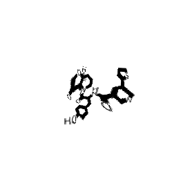 O=C(NC(Cc1ccc(O)cc1)C(=O)N1CCC[C@@H]2OCC(=O)C21)c1cncc(-c2cccs2)c1